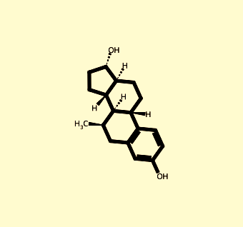 C[C@@H]1Cc2cc(O)ccc2[C@H]2CC[C@H]3[C@@H](CC[C@@H]3O)[C@H]12